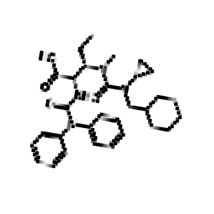 CC[C@H]([C@H](NC(=O)N(c1ccccc1)c1ccccc1)C(=O)O)N(C)C(=O)N(CC1CCCCC1)C1CC1